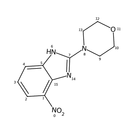 O=[N+]([O-])c1cccc2[nH]c(N3CCOCC3)nc12